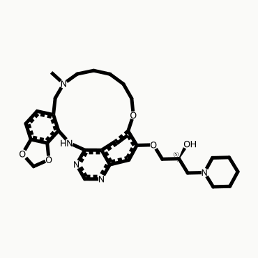 CN1CCCCCOc2cc3c(ncnc3cc2OC[C@@H](O)CN2CCCCC2)Nc2c(ccc3c2OCO3)C1